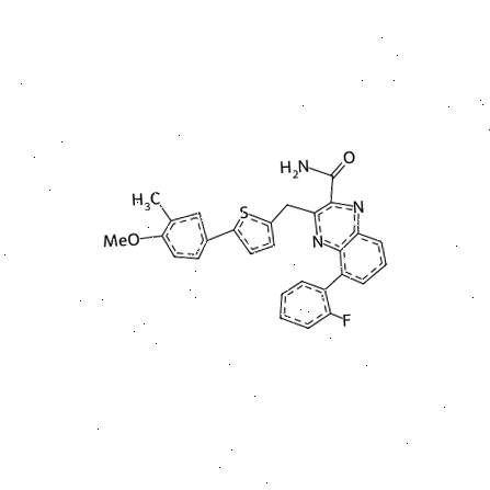 COc1ccc(-c2ccc(Cc3nc4c(-c5ccccc5F)cccc4nc3C(N)=O)s2)cc1C